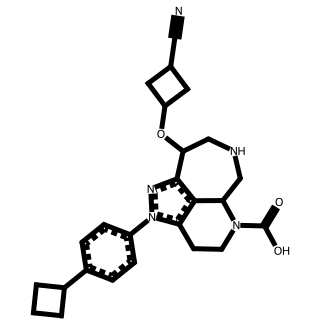 N#CC1CC(OC2CNCC3c4c2nn(-c2ccc(C5CCC5)cc2)c4CCN3C(=O)O)C1